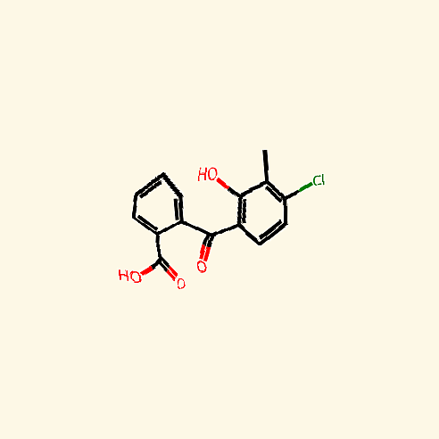 Cc1c(Cl)ccc(C(=O)c2ccccc2C(=O)O)c1O